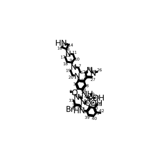 COc1cc(N2CCN(C3CCN(C4CNC4)CC3)CC2)c(-c2cnn(C)c2)cc1Nc1ncc(Br)c(Nc2ccc(C)c(C)c2OP(C)(C)(O)O)n1